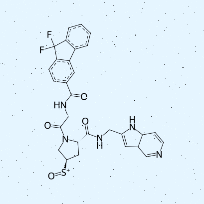 O=[S+][C@@H]1C[C@@H](C(=O)NCC2=CC3C=NC=CC3N2)N(C(=O)CNC(=O)c2ccc3c(c2)-c2ccccc2C3(F)F)C1